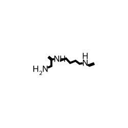 C=CNCCCCCNC(=C)CN